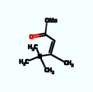 COC(=O)/C=C(/C)[Si](C)(C)C